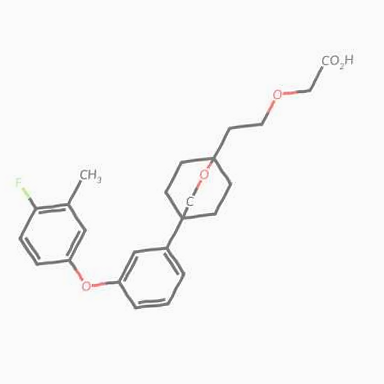 Cc1cc(Oc2cccc(C34CCC(CCOCC(=O)O)(CC3)OC4)c2)ccc1F